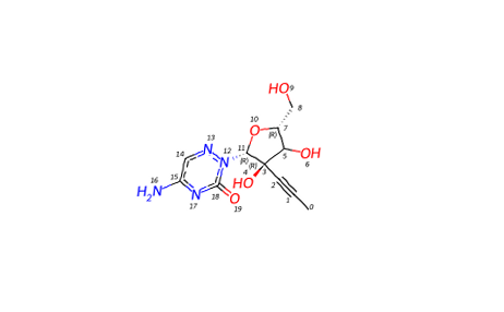 CC#C[C@@]1(O)C(O)[C@@H](CO)O[C@H]1n1ncc(N)nc1=O